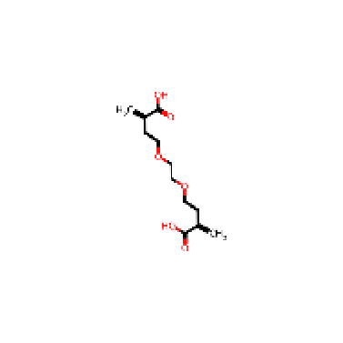 C=C(CCOCCOCCC(=C)C(=O)O)C(=O)O